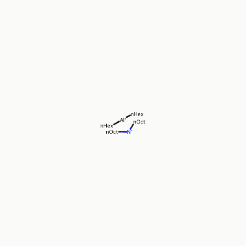 CCCCCCCC[N-]CCCCCCCC.CCCCC[CH2][Al+][CH2]CCCCC